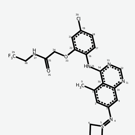 Cc1cc(N=S2CCC2)cc2ncnc(Nc3ccc(Cl)cc3OCC(=O)NCC(F)(F)F)c12